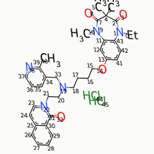 CCN1C(=O)C(C)(C)C(=O)N(C)c2cc(OCCCCN(CCn3ccc4ccccc4c3=O)Cc3cccnc3C)ccc21.Cl.Cl